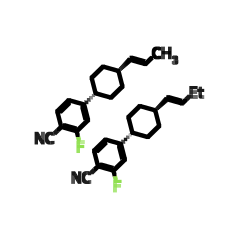 CC=C[C@H]1CC[C@H](c2ccc(C#N)c(F)c2)CC1.CCC=C[C@H]1CC[C@H](c2ccc(C#N)c(F)c2)CC1